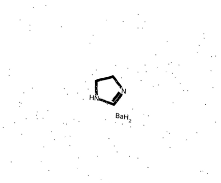 C1=NCCN1.[BaH2]